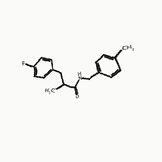 Cc1ccc(CNC(=O)C(C)Cc2ccc(F)cc2)cc1